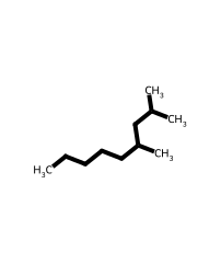 C[CH]CCCC(C)CC(C)C